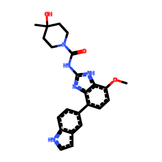 COc1ccc(-c2ccc3[nH]ccc3c2)c2nc(NC(=O)N3CCC(C)(O)CC3)[nH]c12